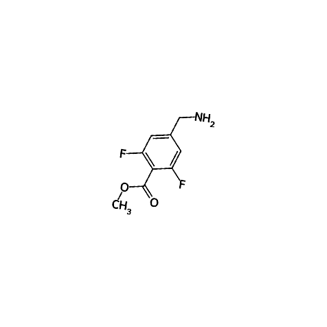 COC(=O)c1c(F)cc(CN)cc1F